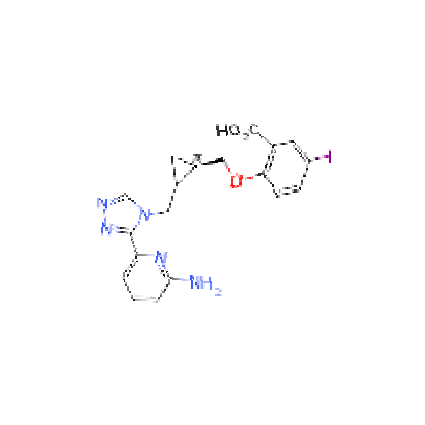 Nc1cccc(-c2nncn2CC2C[C@H]2COc2ccc(I)cc2C(=O)O)n1